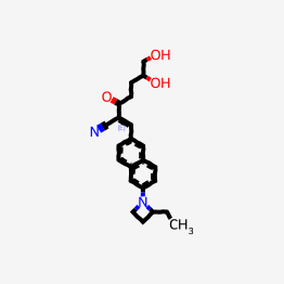 CCC1CCN1c1ccc2cc(/C=C(\C#N)C(=O)CCC(O)CO)ccc2c1